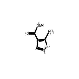 COC(=O)c1cnsc1N